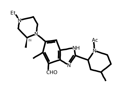 CCN1CCN(c2cc3[nH]c(C4CC(C)CCN4C(C)=O)nc3c(C=O)c2C)[C@@H](C)C1